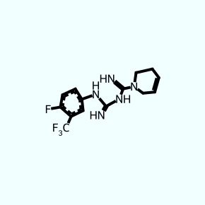 N=C(NC(=N)N1CC=CCC1)Nc1ccc(F)c(C(F)(F)F)c1